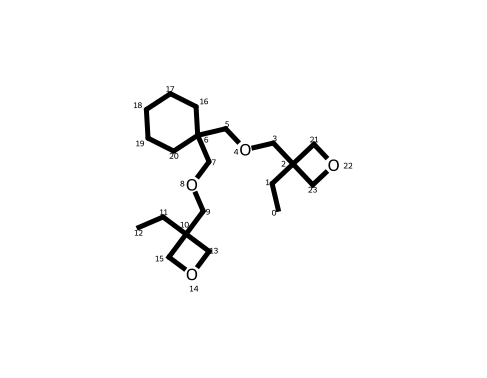 CCC1(COCC2(COCC3(CC)COC3)CCCCC2)COC1